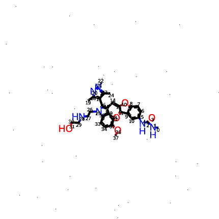 CNC(=O)Nc1ccc2c(c1)C(=O)C(=Cc1c(-c3c(C)nn(C)c3C)n(CCNCCO)c3ccc(OC)cc13)O2